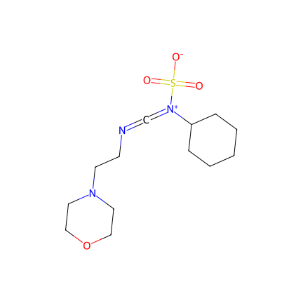 O=S(=O)([O-])[N+](=C=NCCN1CCOCC1)C1CCCCC1